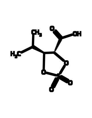 CC(C)[C@@H]1OS(=O)(=O)O[C@H]1C(=O)O